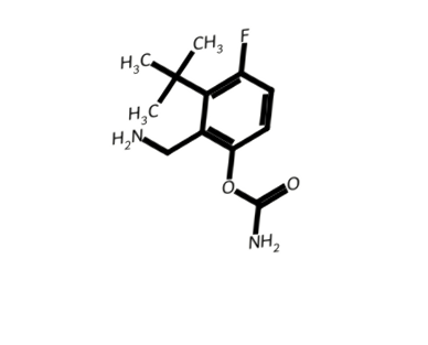 CC(C)(C)c1c(F)ccc(OC(N)=O)c1CN